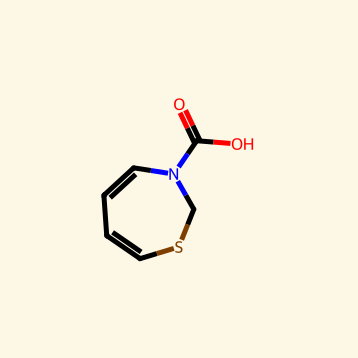 O=C(O)N1C=CC=CSC1